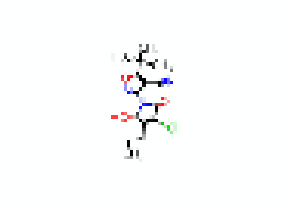 CCCC1=C(Cl)C(=O)N(c2noc(C(C)(C)C)c2C#N)C1O